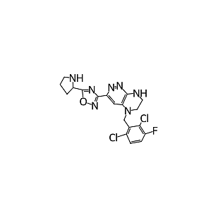 Fc1ccc(Cl)c(CN2CCNc3nnc(-c4noc(C5CCCN5)n4)cc32)c1Cl